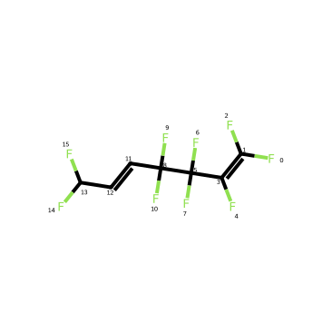 FC(F)=C(F)C(F)(F)C(F)(F)C=CC(F)F